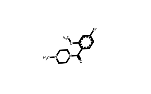 COc1cc(Br)ccc1C(=O)N1CCN(C)CC1